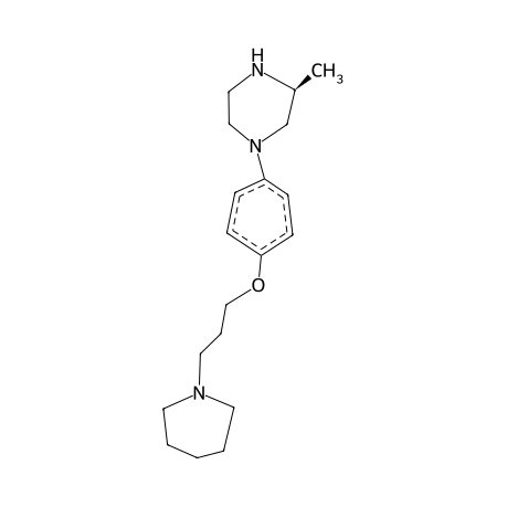 C[C@H]1CN(c2ccc(OCCCN3CCCCC3)cc2)CCN1